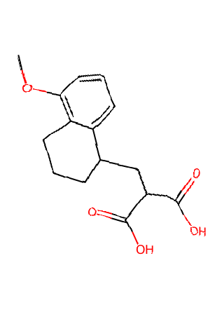 COc1cccc2c1CCCC2CC(C(=O)O)C(=O)O